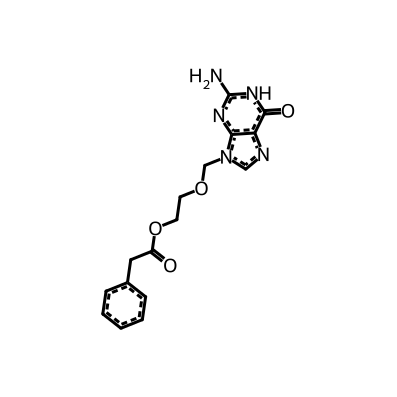 Nc1nc2c(ncn2COCCOC(=O)Cc2ccccc2)c(=O)[nH]1